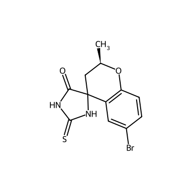 C[C@@H]1CC2(NC(=S)NC2=O)c2cc(Br)ccc2O1